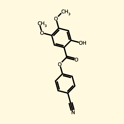 COc1cc(O)c(C(=O)Oc2ccc(C#N)cc2)cc1OC